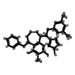 Cc1cc2c(c(C)c1C(F)(F)F)N(Cc1ccncc1)CCCC2N(Cc1cc(C(F)(F)F)cc(C(F)(F)F)c1)c1nnn(C)n1